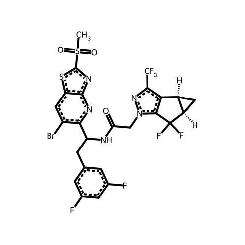 CS(=O)(=O)c1nc2nc(C(Cc3cc(F)cc(F)c3)NC(=O)Cn3nc(C(F)(F)F)c4c3C(F)(F)[C@@H]3C[C@H]43)c(Br)cc2s1